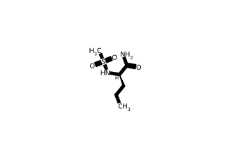 CCC[C@@H](NS(C)(=O)=O)C(N)=O